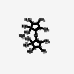 CC1=C(C)C(C)(C)[C]([Co][C]2=C(C)C(C)=C(C)C2(C)C)=C1C.O